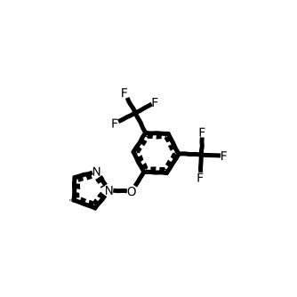 FC(F)(F)c1cc(On2c[c]cn2)cc(C(F)(F)F)c1